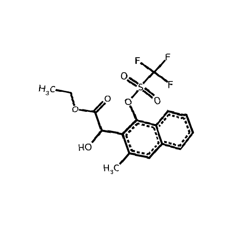 CCOC(=O)C(O)c1c(C)cc2ccccc2c1OS(=O)(=O)C(F)(F)F